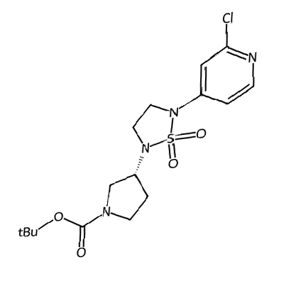 CC(C)(C)OC(=O)N1CC[C@@H](N2CCN(c3ccnc(Cl)c3)S2(=O)=O)C1